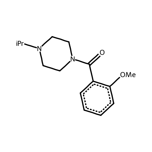 COc1ccccc1C(=O)N1CCN(C(C)C)CC1